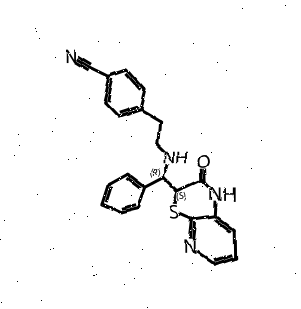 N#Cc1ccc(CCN[C@H](c2ccccc2)[C@@H]2Sc3ncccc3NC2=O)cc1